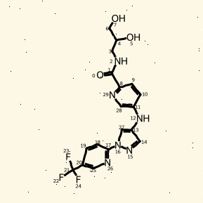 O=C(NCC(O)CO)c1ccc(Nc2cnn(-c3ccc(C(F)(F)F)cn3)c2)cn1